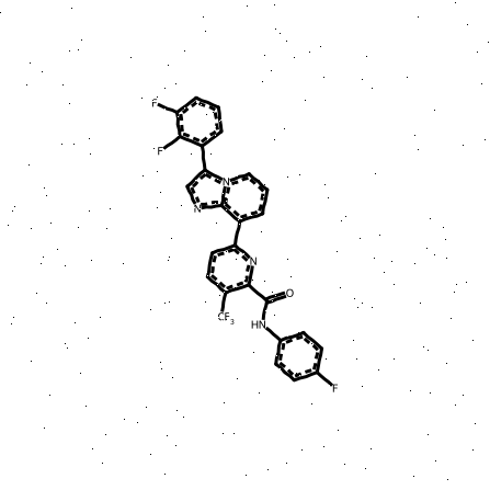 O=C(Nc1ccc(F)cc1)c1nc(-c2cccn3c(-c4cccc(F)c4F)cnc23)ccc1C(F)(F)F